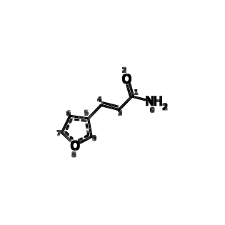 NC(=O)C=Cc1ccoc1